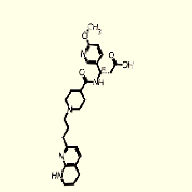 COc1ccc([C@H](CC(=O)O)NC(=O)C2CCN(CCCc3ccc4c(n3)NCCC4)CC2)cn1